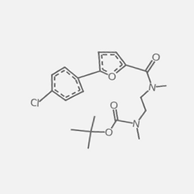 CN(CCN(C)C(=O)c1ccc(-c2ccc(Cl)cc2)o1)C(=O)OC(C)(C)C